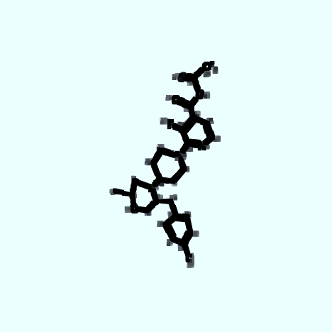 C[C@H]1CN(C2CCN(c3nccc(C(=O)OC(=O)C(F)(F)F)c3F)CC2)[C@@H](Cc2ccc(Cl)cc2)CO1